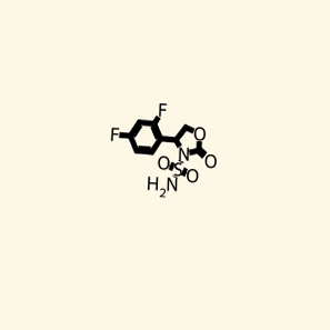 NS(=O)(=O)N1C(=O)OCC1c1ccc(F)cc1F